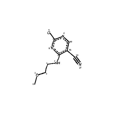 COCCNc1nc(Cl)ncc1C#N